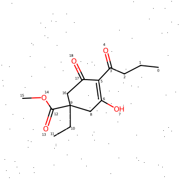 CCCC(=O)C1=C(O)CC(CC)(C(=O)OC)CC1=O